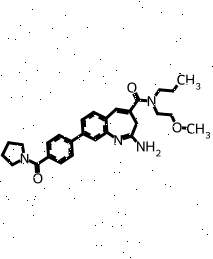 CCCN(CCOC)C(=O)C1=Cc2ccc(-c3ccc(C(=O)N4CCCC4)cc3)cc2N=C(N)C1